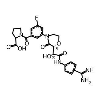 N=C(N)c1ccc(NC(=O)[C@H](O)[C@H]2OCCN(c3cc(F)cc(C(=O)N4CCCC4C(=O)O)c3)C2=O)cc1